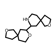 C1CC2(CCOC2)CC(C2CC3(CCOC3)CCO2)N1